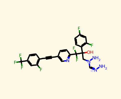 N/N=C\N(N)CC(O)(c1ccc(F)cc1F)C(F)(F)c1ccc(C#Cc2ccc(C(F)(F)F)cc2F)cn1